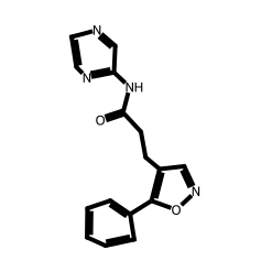 O=C(CCc1cnoc1-c1ccccc1)Nc1cnccn1